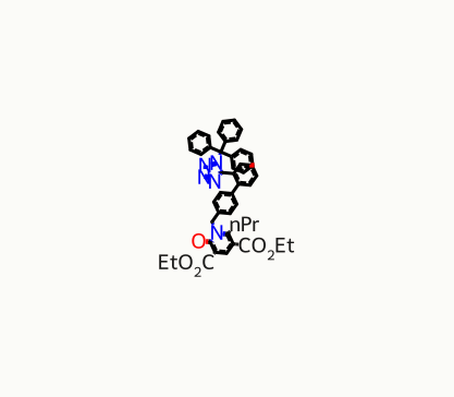 CCCc1c(C(=O)OCC)cc(C(=O)OCC)c(=O)n1Cc1ccc(-c2ccccc2-c2nnnn2C(c2ccccc2)(c2ccccc2)c2ccccc2)cc1